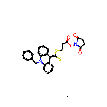 O=C(CCSC(S)=C1c2ccccc2N(Cc2ccccc2)c2ccccc21)ON1C(=O)CCC1=O